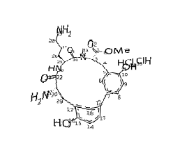 COC(=O)[C@@H]1Cc2cc(ccc2O)-c2ccc(O)c(c2)C[C@H](N)C(=O)N[C@@H](CCCN)C(=O)N1C.Cl.Cl